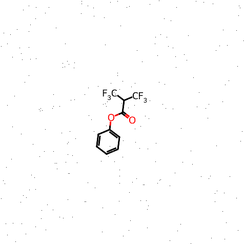 O=C(Oc1ccccc1)C(C(F)(F)F)C(F)(F)F